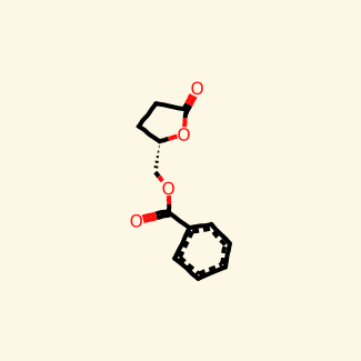 O=C1CC[C@@H](COC(=O)c2ccccc2)O1